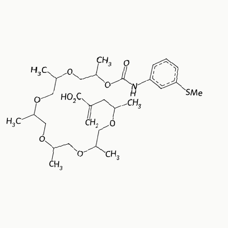 C=C(CC(C)OCC(C)OCC(C)OCC(C)OCC(C)OCC(C)OC(=O)Nc1cccc(SC)c1)C(=O)O